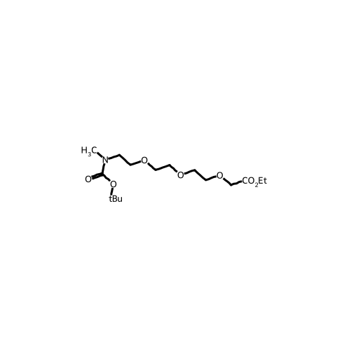 CCOC(=O)COCCOCCOCCN(C)C(=O)OC(C)(C)C